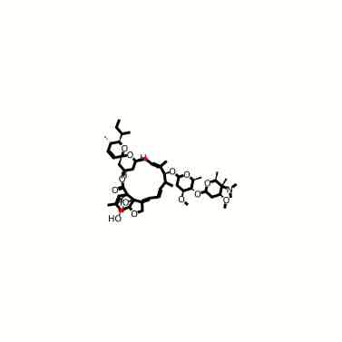 CCC(C)[C@H]1O[C@]2(C=C[C@@H]1C)C[C@@H]1C[C@@H](C/C=C(\C)[C@@H](OC3C[C@H](OC)[C@@H](OC4C[C@H](OC)[C@@](C)(N(C)C)[C@H](C)O4)[C@H](C)O3)C(C)/C=C/C=C3\CO[C@@H]4[C@H](O)C(C)=C[C@@H](C(=O)O1)[C@]34O)O2